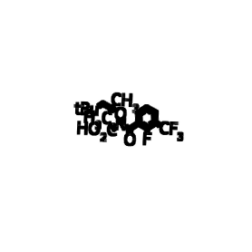 CC(C)(C)CC(C)(C)ON(C(=O)O)C(=O)c1cccc(C(F)(F)F)c1F